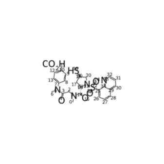 CN(CC(=O)N(C)c1ccc(C(=O)O)cc1)C(=O)[C@@H]1C[C@@H](S)CN1S(=O)(=O)c1cccc2cccnc12